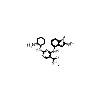 CCCc1cc2c(Nc3nc(N[C@@H]4CCCC[C@@H]4N)ncc3C(N)=O)cccc2n1C